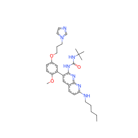 CCCCCNc1ccc2cc(-c3cc(OCCCn4ccnc4)ccc3OC)c(NC(=O)NC(C)(C)C)nc2n1